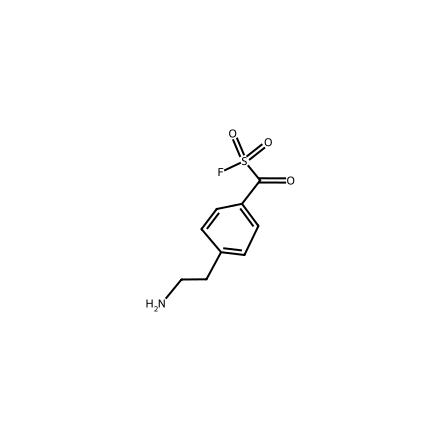 NCCc1ccc(C(=O)S(=O)(=O)F)cc1